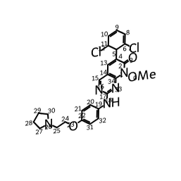 COn1c(=O)c(C2C(Cl)=CC=CC2Cl)cc2cnc(Nc3ccc(OCCN4CCCC4)cc3)nc21